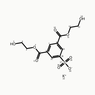 O=C(OCCO)c1cc(C(=O)OCCO)cc(S(=O)(=O)[O-])c1.[K+]